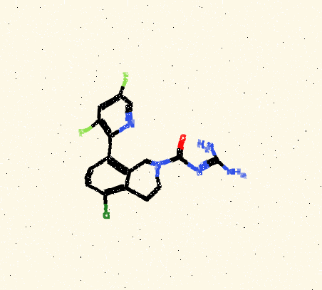 NC(N)=NC(=O)N1CCc2c(Cl)ccc(-c3ncc(F)cc3F)c2C1